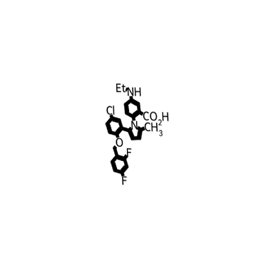 CCNc1ccc(-n2c(C)ccc2-c2cc(Cl)ccc2OCc2ccc(F)cc2F)c(C(=O)O)c1